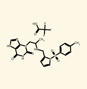 Cc1ccc(S(=O)(=O)n2cccc2CNC(C)Cn2c(=S)[nH]c(=O)c3[nH]cnc32)cc1.O=C(O)C(F)(F)F